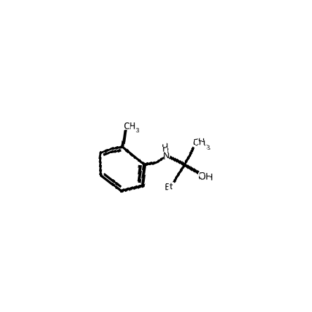 CCC(C)(O)Nc1ccccc1C